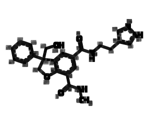 CNC(=O)c1cc(C(=O)NCCc2cn[nH]c2)cc2c1OCC2(CO)c1ccccc1